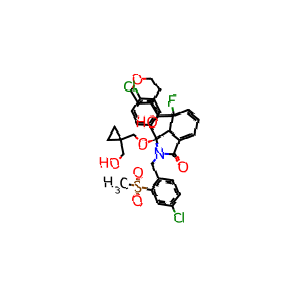 CS(=O)(=O)c1cc(Cl)ccc1CN1C(=O)C2=CC=CC(F)(C(O)C3CCOCC3)C2[C@@]1(OCC1(CO)CC1)c1ccc(Cl)cc1